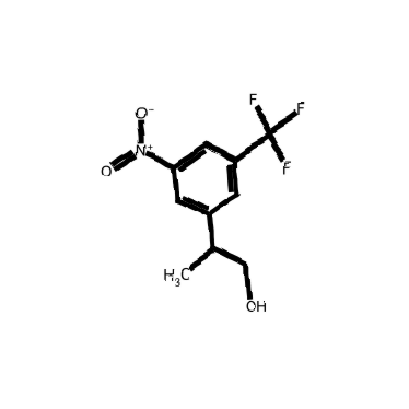 C[C](CO)c1cc([N+](=O)[O-])cc(C(F)(F)F)c1